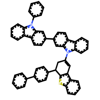 C1=C(n2c3ccccc3c3ccc(-c4ccc5c6ccccc6n(-c6ccccc6)c5c4)cc32)CC(c2ccc(-c3ccccc3)cc2)c2sc3ccccc3c21